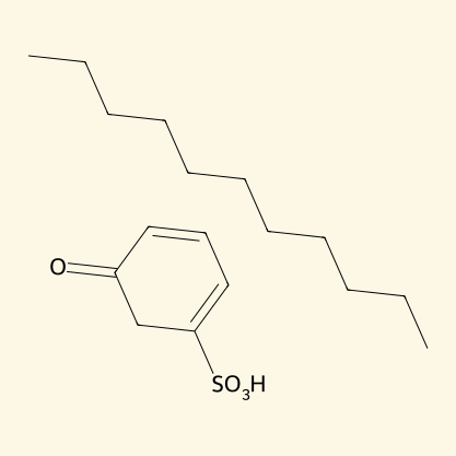 CCCCCCCCCCC.O=C1C=CC=C(S(=O)(=O)O)C1